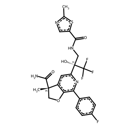 Cc1ncc(C(=O)NC[C@](O)(c2cc3c(c(-c4ccc(F)cc4)n2)OC[C@]3(C)C(N)=O)C(F)(F)F)s1